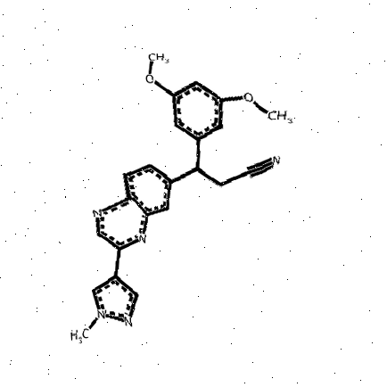 COc1cc(OC)cc(C(CC#N)c2ccc3ncc(-c4cnn(C)c4)nc3c2)c1